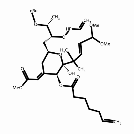 C=CCCCCC(=O)O[C@H]1/C(=C/C(=O)OC)C[C@@H](C[C@@H](OPC=C)[C@@H](C)OCCCC)O[C@@]1(O)C(C)(C)/C=C/C(OC)OC